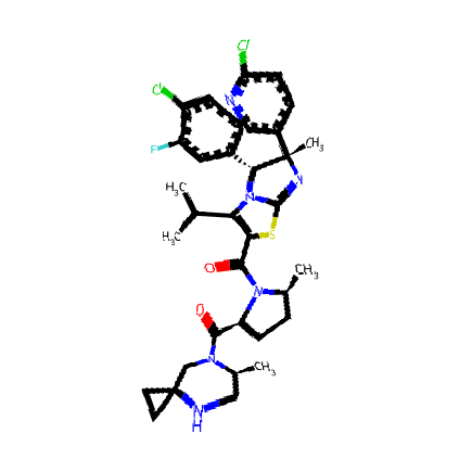 CC(C)C1=C(C(=O)N2[C@@H](C)CC[C@H]2C(=O)N2CC3(CC3)NC[C@@H]2C)SC2=N[C@@](C)(c3ccc(Cl)nc3)[C@@H](c3ccc(Cl)c(F)c3)N21